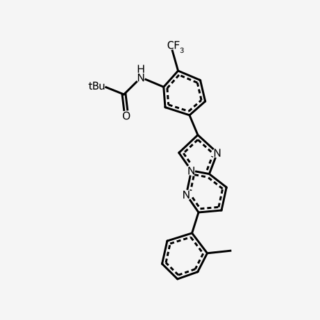 Cc1ccccc1-c1ccc2nc(-c3ccc(C(F)(F)F)c(NC(=O)C(C)(C)C)c3)cn2n1